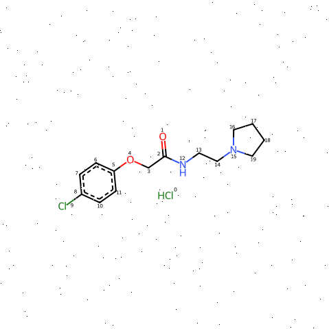 Cl.O=C(COc1ccc(Cl)cc1)NCCN1CCCC1